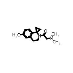 Cc1ccc2c(c1)CCN(C(=O)CN(C)C)C21CC1